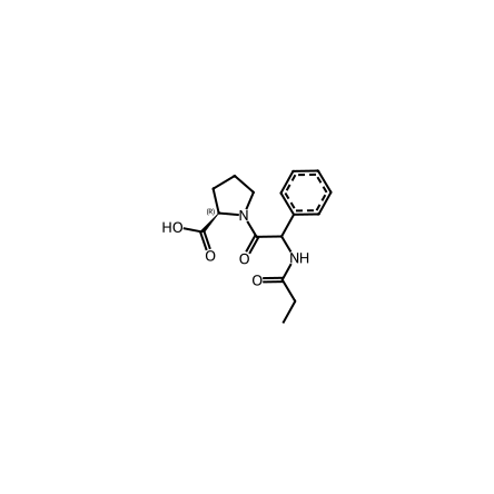 CCC(=O)NC(C(=O)N1CCC[C@@H]1C(=O)O)c1ccccc1